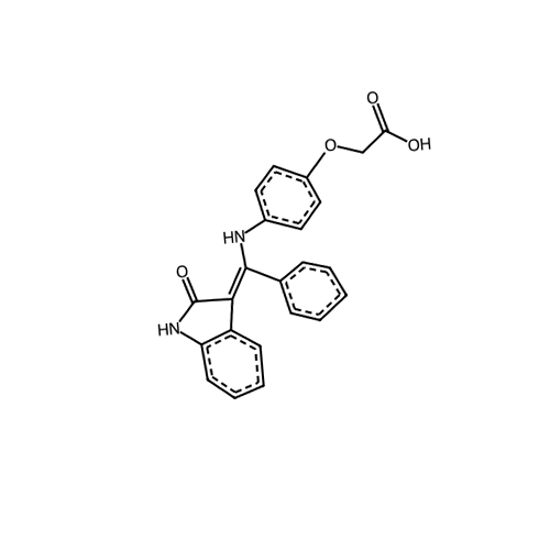 O=C(O)COc1ccc(N/C(=C2\C(=O)Nc3ccccc32)c2ccccc2)cc1